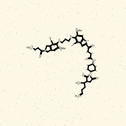 C=CCCC(C)C1CC(=O)N([C@H]2CC[C@H](OC(=O)CCC(=O)c3cc4c(F)c(OCCCOc5c(OC)cc6c(c5F)CN(C(=O)CCC(=O)O)C6)c(OC)cc4s3)CC2)C1=O